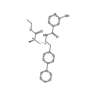 CCOC(=O)[C@H](C)C[C@@H](Cc1ccc(-c2ccccc2)cc1)NC(=O)c1ccnc(O)c1